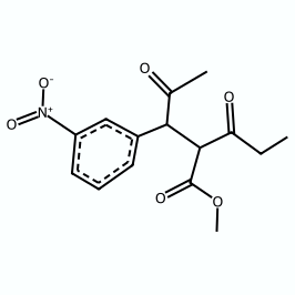 CCC(=O)C(C(=O)OC)C(C(C)=O)c1cccc([N+](=O)[O-])c1